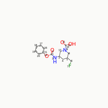 O=C(NC1CC(CF)CN(C(=O)O)C1)Oc1ccccc1